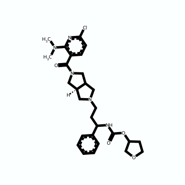 CN(C)c1nc(Cl)ccc1C(=O)N1CC2CN(CCC(NC(=O)OC3CCOC3)c3ccccc3)C[C@H]2C1